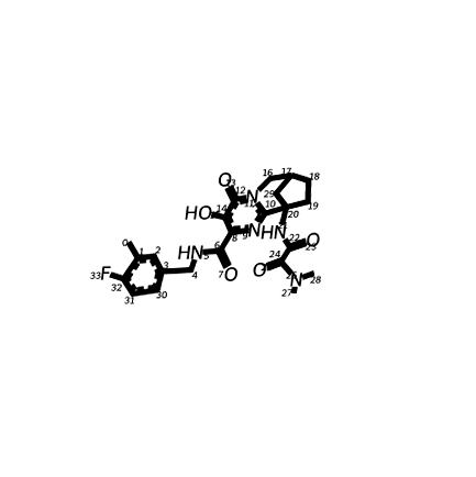 Cc1cc(CNC(=O)c2nc3n(c(=O)c2O)CC2CCC3(NC(=O)C(=O)N(C)C)C2)ccc1F